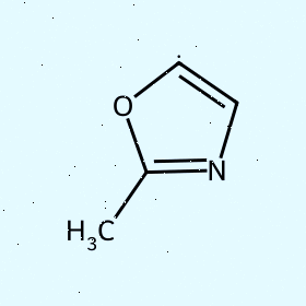 Cc1nc[c]o1